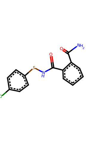 NC(=O)c1ccccc1C(=O)NSc1ccc(Cl)cc1